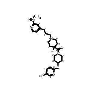 CNc1cc(CCCN2CCC(F)(C(=O)N3CCC(Oc4ccc(F)cn4)CC3)CC2)ccn1